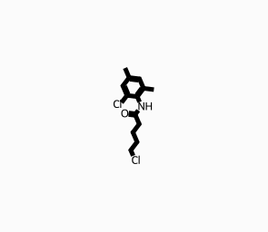 Cc1cc(C)c(NC(=O)CCCCCl)c(Cl)c1